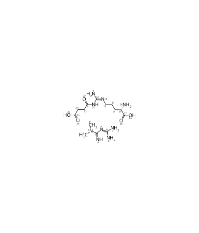 CN(C)C(=N)N=C(N)N.NC(=NCCC[C@H](N)C(=O)O)NC(=O)CCC(=O)O